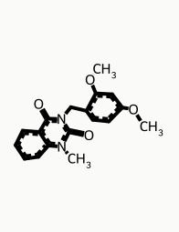 COc1ccc(Cn2c(=O)c3ccccc3n(C)c2=O)c(OC)c1